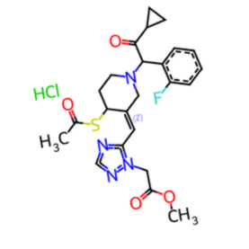 COC(=O)Cn1ncnc1/C=C1/CN(C(C(=O)C2CC2)c2ccccc2F)CCC1SC(C)=O.Cl